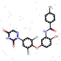 O=C(Nc1cc(Oc2c(Cl)cc(-n3ncc(=O)[nH]c3=O)cc2Cl)ccc1O)c1ccc(C(F)(F)F)cc1